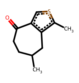 Cc1scc2c1CC(C)CCC2=O